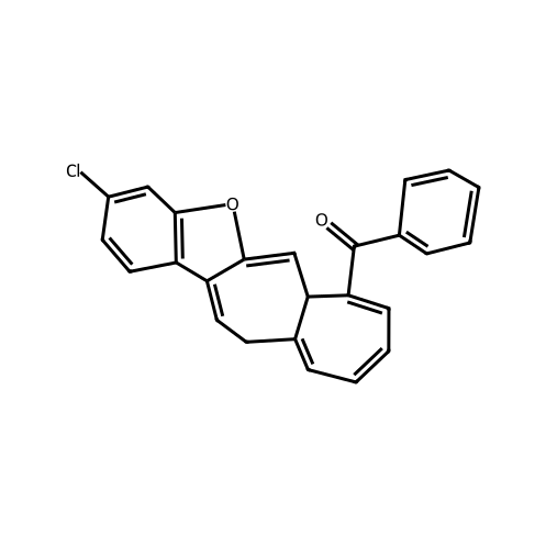 O=C(C1=CC=CC=C2CC=c3c(oc4cc(Cl)ccc34)=CC21)c1ccccc1